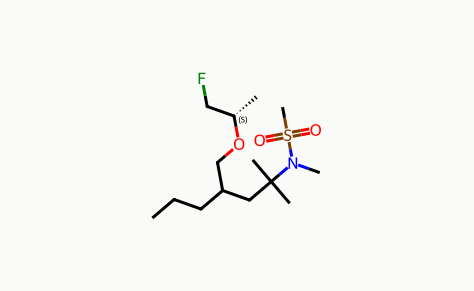 CCCC(CO[C@@H](C)CF)CC(C)(C)N(C)S(C)(=O)=O